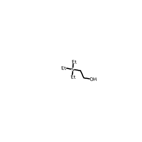 CCS(CC)(CC)CCO